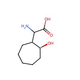 NC(C(=O)O)C1CCCCC[C@@H]1O